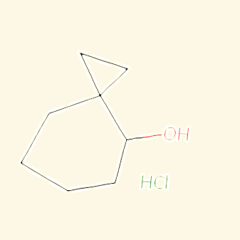 Cl.OC1CCCCC12CC2